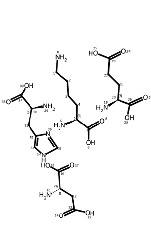 NCCCC[C@H](N)C(=O)O.N[C@@H](CC(=O)O)C(=O)O.N[C@@H](CCC(=O)O)C(=O)O.N[C@@H](Cc1c[nH]cn1)C(=O)O